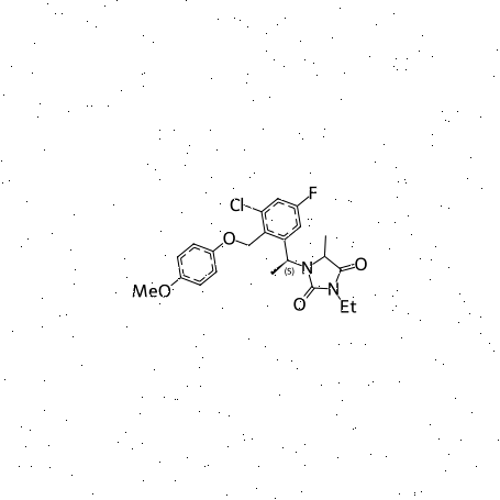 CCN1C(=O)C(C)N([C@@H](C)c2cc(F)cc(Cl)c2COc2ccc(OC)cc2)C1=O